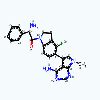 Cn1cc(-c2ccc3c(c2F)CCN3C(=O)[C@@H](N)c2ccccc2)c2c(N)ncnc21